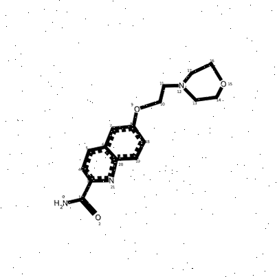 NC(=O)c1ccc2cc(OCCN3CCOCC3)c[c]c2n1